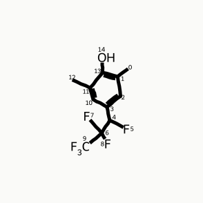 Cc1cc(C(F)C(F)(F)C(F)(F)F)cc(C)c1O